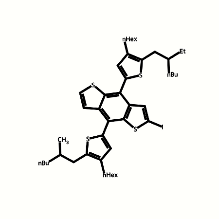 CCCCCCc1cc(-c2c3cc(I)sc3c(-c3cc(CCCCCC)c(CC(C)CCCC)s3)c3ccsc23)sc1CC(CC)CCCC